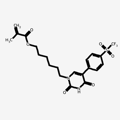 C=C(C)C(=O)OCCCCCCn1cc(-c2ccc(S(=O)(=O)C(F)(F)F)cc2)c(=O)[nH]c1=O